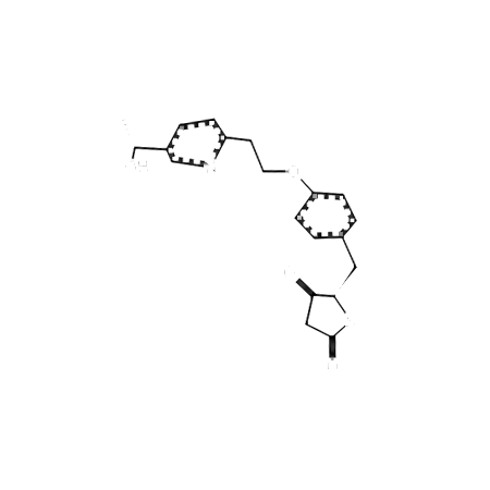 C[C@@H](O)c1ccc(CCOc2ccc(C[C@H]3SC(=O)CC3=O)cc2)nc1